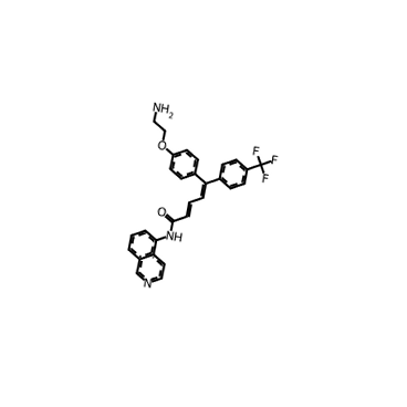 NCCOc1ccc(C(=CC=CC(=O)Nc2cccc3cnccc23)c2ccc(C(F)(F)F)cc2)cc1